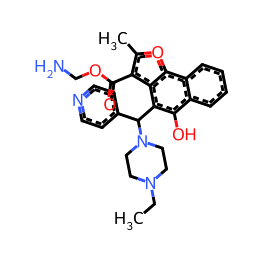 CCN1CCN(C(c2ccncc2)c2c(O)c3ccccc3c3oc(C)c(C(=O)OCN)c23)CC1